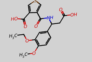 CCOc1cc(C(CC(=O)O)NC(=O)c2cscc2C(=O)O)ccc1OC